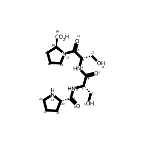 O=C(N[C@@H](CO)C(=O)N[C@@H](CO)C(=O)N1CCC[C@H]1C(=O)O)[C@@H]1CCCN1